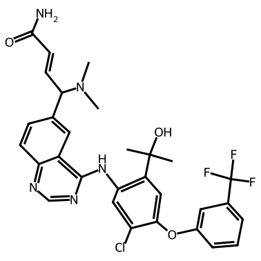 CN(C)C(C=CC(N)=O)c1ccc2ncnc(Nc3cc(Cl)c(Oc4cccc(C(F)(F)F)c4)cc3C(C)(C)O)c2c1